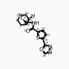 O=C(N[C@H]1CN2CCC1CC2)c1ccc(-c2nnco2)s1